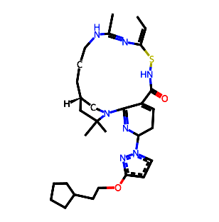 C/C=C1\N=C(/C)NCCC[C@@H]2CN(C3=NC(n4ccc(OCCC5CCCC5)n4)CC=C3C(=O)NS1)C(C)(C)C2